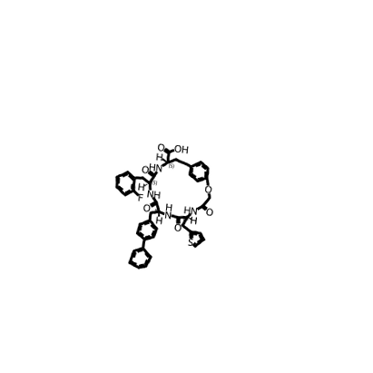 O=C1COc2ccc(cc2)C[C@@H](C(=O)O)NC(=O)[C@H](Cc2ccccc2F)NC(=O)[C@@H](Cc2ccc(-c3ccccc3)cc2)NC(=O)[C@H](Cc2cccs2)N1